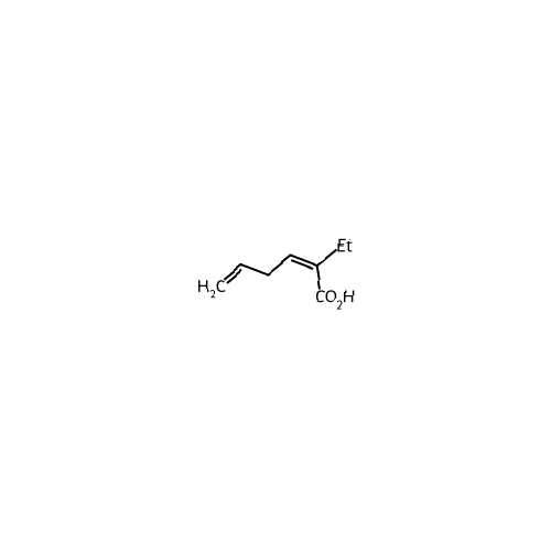 C=CC/C=C(/CC)C(=O)O